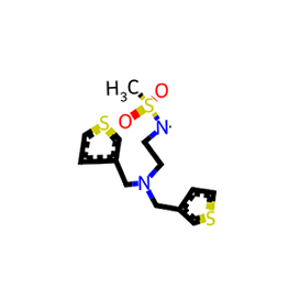 CS(=O)(=O)[N]CCN(Cc1ccsc1)Cc1ccsc1